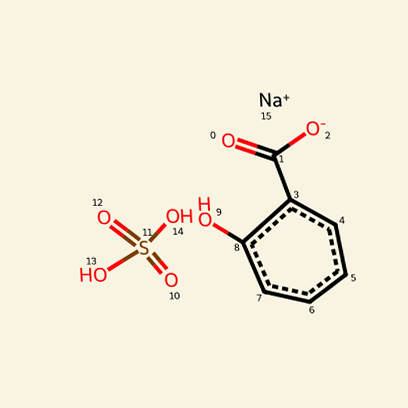 O=C([O-])c1ccccc1O.O=S(=O)(O)O.[Na+]